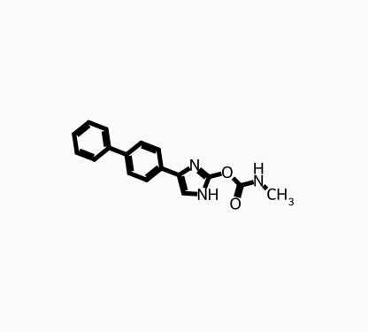 CNC(=O)Oc1nc(-c2ccc(-c3ccccc3)cc2)c[nH]1